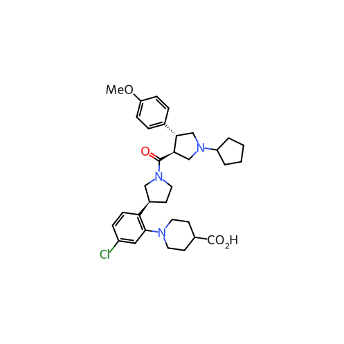 COc1ccc([C@@H]2CN(C3CCCC3)C[C@H]2C(=O)N2CC[C@@H](c3ccc(Cl)cc3N3CCC(C(=O)O)CC3)C2)cc1